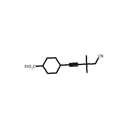 CCOC(=O)C1CCC(C#CC(C)(C)CC#N)CC1